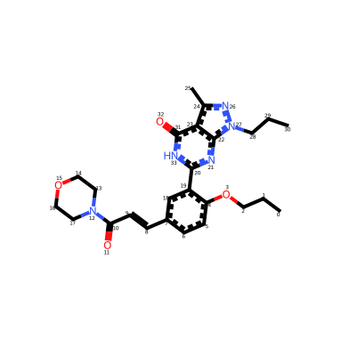 CCCOc1ccc(C=CC(=O)N2CCOCC2)cc1-c1nc2c(c(C)nn2CCC)c(=O)[nH]1